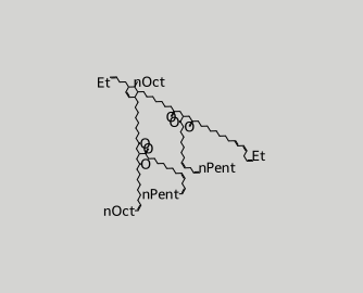 CC/C=C\C/C=C\C=C\CCCCCCCCC(=O)CC(CC(=O)CCCCCCCC1C(CCCCCCCCC(=O)CC(CC(=O)CCCCCCC/C=C\CCCCCCCC)C(=O)CCCCCCC/C=C\C/C=C\CCCCC)C=CC(CC/C=C\CC)C1CCCCCCCC)C(=O)CCCCCCC/C=C\C/C=C\CCCCC